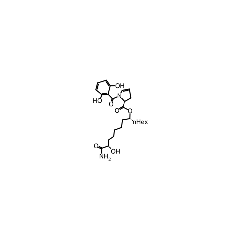 CCCCCC[C@H](CCCCC[C@@H](O)C(N)=O)OC(=O)[C@@H]1CC=CN1C(=O)c1c(O)cccc1O